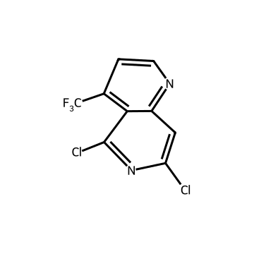 FC(F)(F)c1ccnc2cc(Cl)nc(Cl)c12